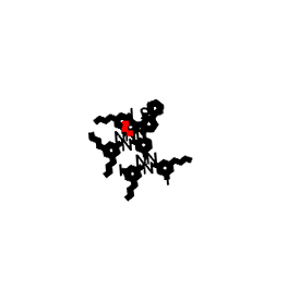 CCCCc1cc(I)cc(-c2nc(-c3cc(I)cc(CCCC)c3)nc(-c3ccc(-n4c5ccccc5c5c6sc7ccccc7c6ccc54)c(-c4nc(-c5cc(I)cc(CCCC)c5)nc(-c5cc(CCCC)cc(CCCC)c5)n4)c3)n2)c1